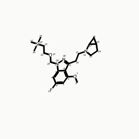 COc1cc(F)cc2c1c(CCN1CCC3CC31)nn2COCC[Si](C)(C)C